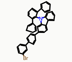 Brc1cccc(-c2ccc(-c3ccc4c5ccccc5n(-c5c(C6=CCCC=C6)cccc5-c5ccccc5)c4c3)cc2)c1